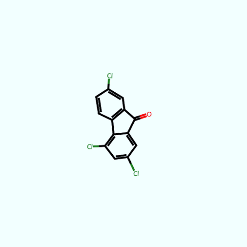 O=C1c2cc(Cl)ccc2-c2c(Cl)cc(Cl)cc21